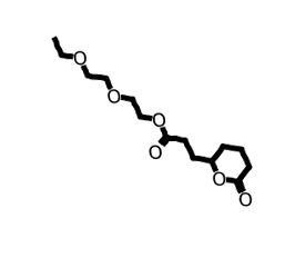 CCOCCOCCOC(=O)CCC1CCCC(=O)O1